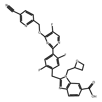 N#Cc1ccc(COc2nc(-c3cc(F)c(Cc4nc5ccc(C(=O)O)cc5n4CC4CCO4)cc3F)ncc2F)nc1